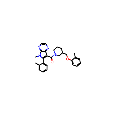 Cc1ccccc1OCC1CCCN(C(=O)c2c(-c3ccccc3C)n(C)c3nccnc23)C1